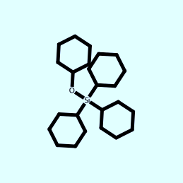 C1CCC(O[Si](C2CCCCC2)(C2CCCCC2)C2CCCCC2)CC1